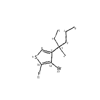 CCCC(C)(CC)c1csc(F)c1Br